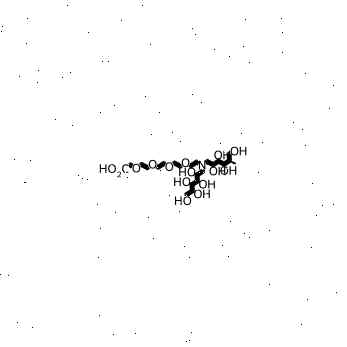 C[C@H](CO)[C@@H](O)[C@H](O)[C@@H](O)CN(CCOCCOCCOCCOCC(=O)O)C[C@H](O)[C@@H](O)[C@H](O)[C@H](O)CO